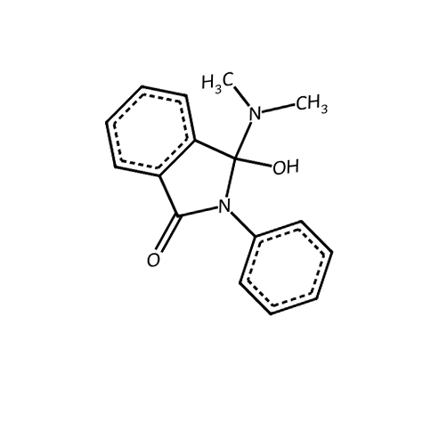 CN(C)C1(O)c2ccccc2C(=O)N1c1ccccc1